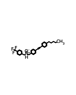 CCCCCc1ccc(C#Cc2ccc(C[NH+]([O-])Cc3ccc(C(F)(F)F)cc3)cc2)cc1